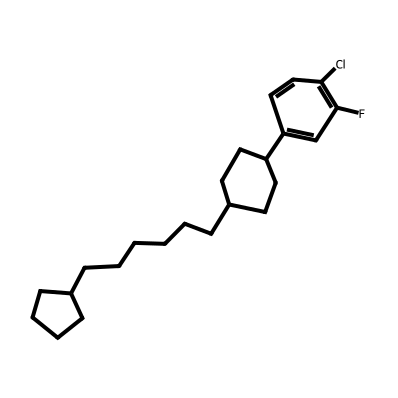 Fc1cc(C2CCC(CCCCCCC3CCCC3)CC2)ccc1Cl